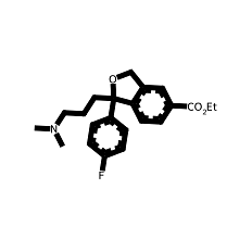 CCOC(=O)c1ccc2c(c1)COC2(CCCN(C)C)c1ccc(F)cc1